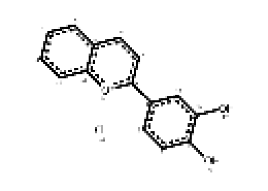 Oc1ccc(-c2ccc3ccccc3[o+]2)cc1O.[Cl-]